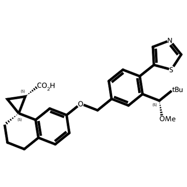 CO[C@H](c1cc(COc2ccc3c(c2)[C@@]2(CCC3)C[C@@H]2C(=O)O)ccc1-c1cncs1)C(C)(C)C